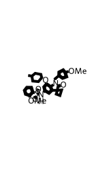 COc1ccc(CN2C(=O)C3(CCC3)c3cc(NS(=O)(=O)c4ccccc4OC)cc(OC4CCC(C)CC4)c32)cc1